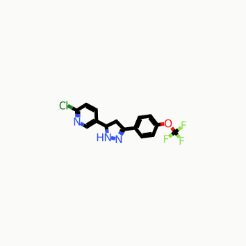 FC(F)(F)Oc1ccc(C2=NNC(c3ccc(Cl)nc3)C2)cc1